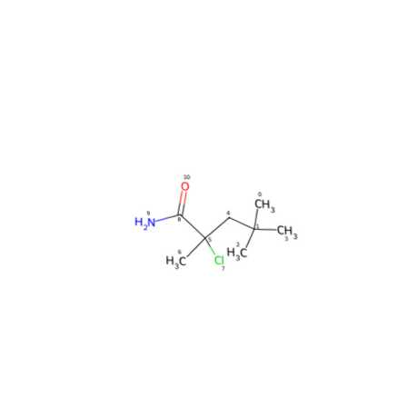 CC(C)(C)CC(C)(Cl)C(N)=O